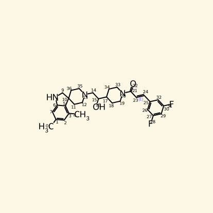 Cc1cc(C)c2c(c1)NCC21CCN(CC(O)C2CCN(C(=O)/C=C/c3cc(F)cc(F)c3)CC2)CC1